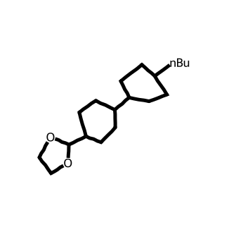 CCCCC1CCC(C2CCC(C3OCCO3)CC2)CC1